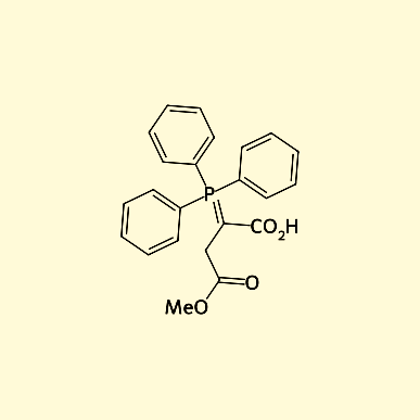 COC(=O)CC(C(=O)O)=P(c1ccccc1)(c1ccccc1)c1ccccc1